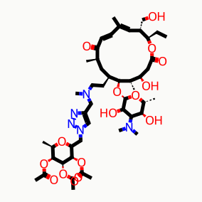 CC[C@H]1OC(=O)C[C@@H](O)[C@H](C)[C@@H](O[C@@H]2O[C@H](C)[C@@H](O)C(N(C)C)C2O)[C@@H](CCN(C)Cc2cn(CC3O[C@H](C)[C@H](OC(C)=O)[C@@H](OC(C)=O)[C@@H]3OC(C)=O)nn2)C[C@@H](C)C(=O)/C=C/C(C)=C/[C@@H]1CO